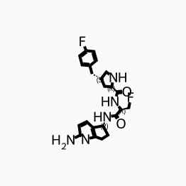 Nc1ccc2c(n1)CC[C@H]2NC(=O)[C@H](CF)NC(=O)[C@H]1C[C@H](Cc2ccc(F)cc2)CN1